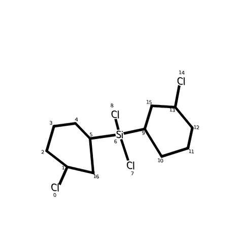 ClC1CCCC([Si](Cl)(Cl)C2CCCC(Cl)C2)C1